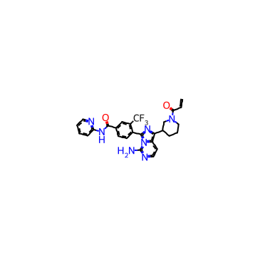 C=CC(=O)N1CCCC(c2nc(-c3ccc(C(=O)Nc4ccccn4)cc3C(F)(F)F)n3c(N)nccc23)C1